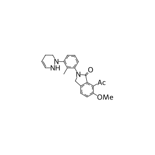 COc1ccc2c(c1C(C)=O)C(=O)N(c1cccc(N3CCC=CN3)c1C)C2